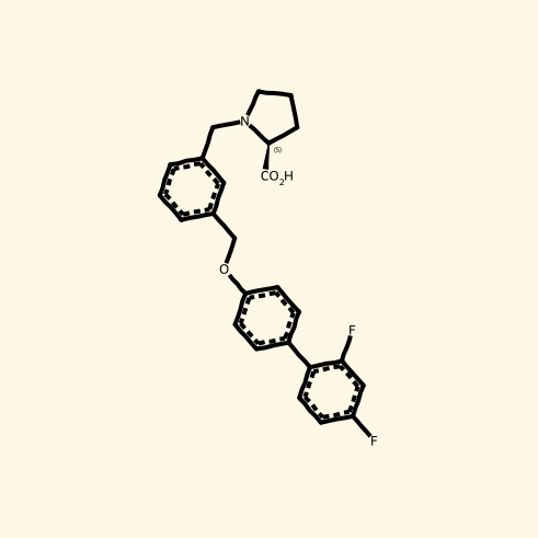 O=C(O)[C@@H]1CCCN1Cc1cccc(COc2ccc(-c3ccc(F)cc3F)cc2)c1